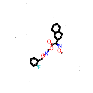 CON=C(C(=O)OC=NOCc1ccccc1F)c1ccc2ccccc2c1